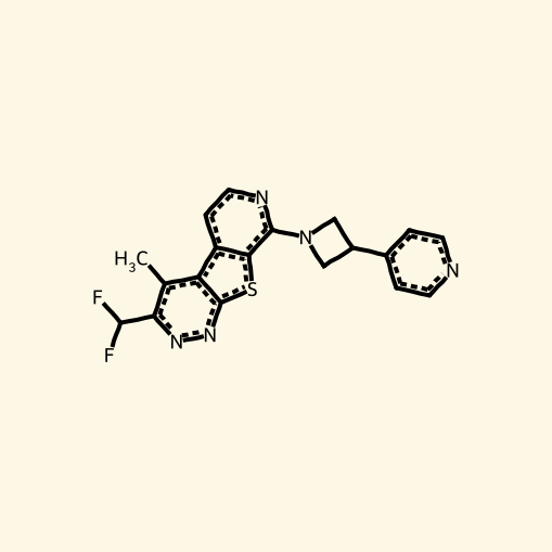 Cc1c(C(F)F)nnc2sc3c(N4CC(c5ccncc5)C4)nccc3c12